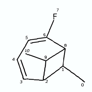 CC1C2C=CC=C(F)C1C2C